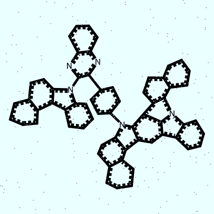 c1ccc2c(c1)ccc1c2c2ccccc2n1-c1nc2ccccc2nc1-c1ccc(-n2c3ccc4ccccc4c3c3cc4c5ccccc5n5c6c7ccccc7ccc6c(c32)c45)cc1